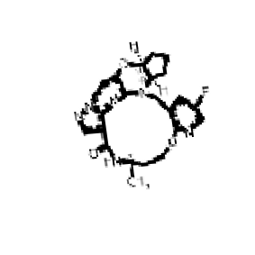 C[C@@H]1CCOc2ncc(F)cc2CN2c3nc4c(cnn4cc3O[C@H]3CCC[C@H]32)C(=O)N1